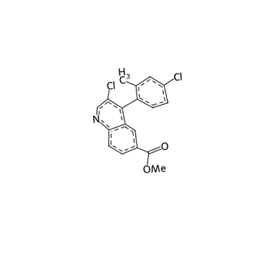 COC(=O)c1ccc2ncc(Cl)c(-c3ccc(Cl)cc3C)c2c1